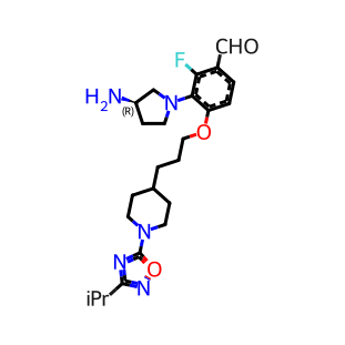 CC(C)c1noc(N2CCC(CCCOc3ccc(C=O)c(F)c3N3CC[C@@H](N)C3)CC2)n1